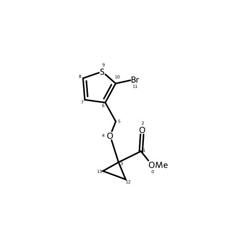 COC(=O)C1(OCc2ccsc2Br)CC1